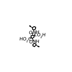 C#Cc1cccc(NC(=O)c2cc(C(=O)O)c(C(=O)Nc3cccc(C#C)c3)cc2C(=O)O)c1